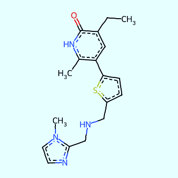 CCc1cc(-c2ccc(CNCc3nccn3C)s2)c(C)[nH]c1=O